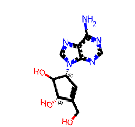 Nc1ncnc2c1ncn2[C@@H]1C=C(CO)[C@H](O)C1O